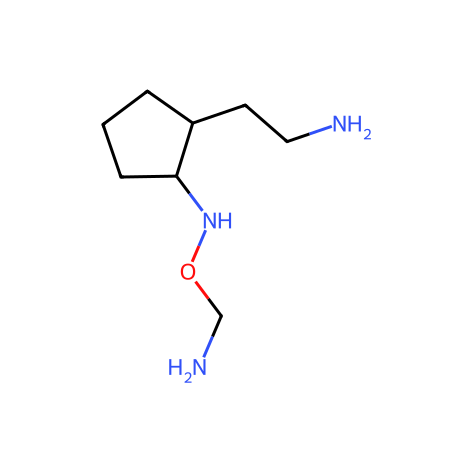 NCCC1CCCC1NOCN